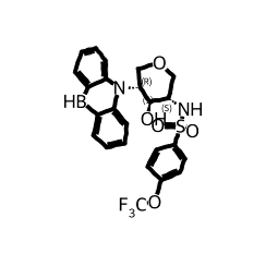 O=S(=O)(N[C@H]1COC[C@@H](N2c3ccccc3Bc3ccccc32)[C@@H]1O)c1ccc(OC(F)(F)F)cc1